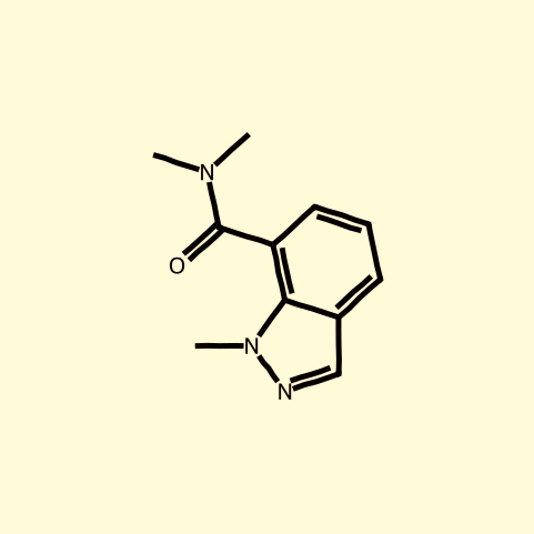 CN(C)C(=O)c1cccc2cnn(C)c12